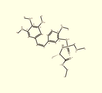 CCOC(=O)[C@H](C)NP(=O)(COC)Oc1cc(/C=C\c2cc(OC)c(OC)c(OC)c2)ccc1OC